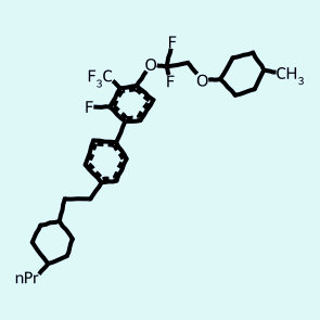 CCCC1CCC(CCc2ccc(-c3ccc(OC(F)(F)COC4CCC(C)CC4)c(C(F)(F)F)c3F)cc2)CC1